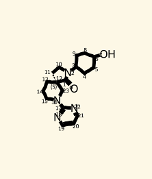 O=C1N(C2CCC(O)CC2)CC[C@]12CCCN(c1ncccn1)C2